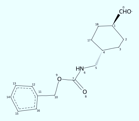 O=[C][C@H]1CC[C@H](CNC(=O)OCc2ccccc2)CC1